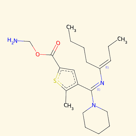 CC/C=C(CCCC)/N=C(\c1cc(C(=O)OCN)sc1C)N1CCCCC1